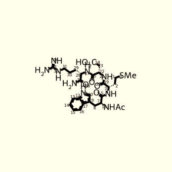 CSCC[C@H](NC(=O)[C@H](Cc1c[nH]c2ccccc12)NC(C)=O)C(=O)N[C@@H](CC(=O)O)C(=O)N[C@@H](CCCNC(=N)N)C(N)=O